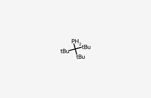 CC(C)(C)C(P)(C(C)(C)C)C(C)(C)C